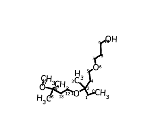 CCC(C)(CCOCCCO)OCCC(C)(C)OC